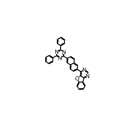 c1ccc(-c2nc(-c3ccccc3)nc(-c3ccc4cc(-c5ncnc6c5oc5ccccc56)ccc4c3)n2)cc1